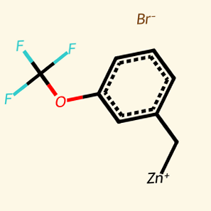 FC(F)(F)Oc1cccc([CH2][Zn+])c1.[Br-]